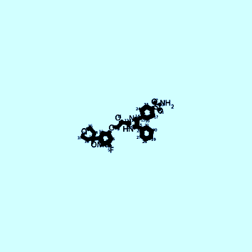 COC1(c2cc(F)cc(OCC(=O)c3nc(-c4ccc(S(N)(=O)=O)cc4)c(-c4ccccc4)[nH]3)c2)CCOCC1